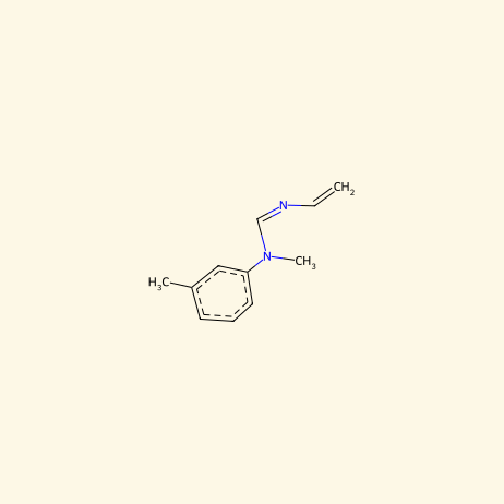 C=C/N=C\N(C)c1cccc(C)c1